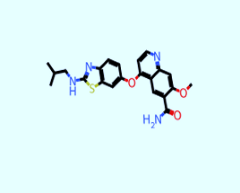 COc1cc2nccc(Oc3ccc4nc(NCC(C)C)sc4c3)c2cc1C(N)=O